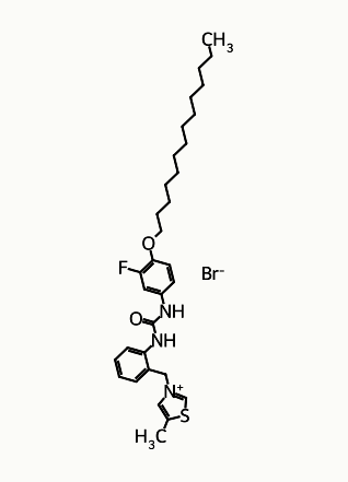 CCCCCCCCCCCCCCOc1ccc(NC(=O)Nc2ccccc2C[n+]2csc(C)c2)cc1F.[Br-]